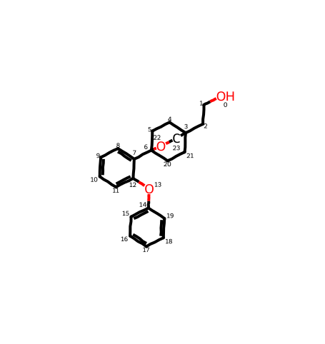 OCCC12CCC(c3ccccc3Oc3ccccc3)(CC1)OC2